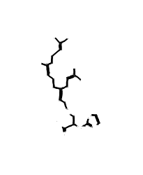 CC(C)=CCCC(C)=CCCC(=CCSCC(Nc1nccs1)C(=O)O)CC=C(C)C